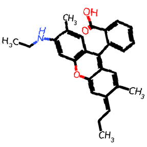 CCC=c1cc2c(cc1C)=C(c1ccccc1C(=O)O)c1cc(C)c(NCC)cc1O2